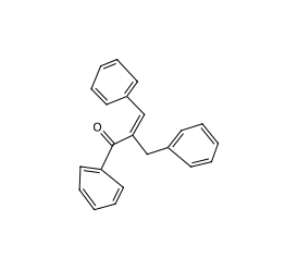 O=C(C(=Cc1ccccc1)Cc1ccccc1)c1ccccc1